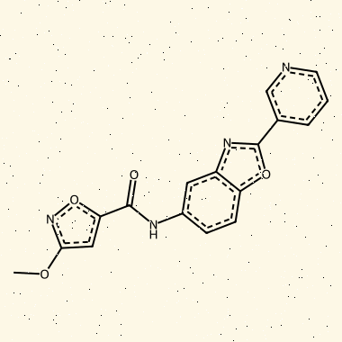 COc1cc(C(=O)Nc2ccc3oc(-c4cccnc4)nc3c2)on1